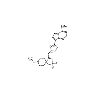 CSc1ncnn2c([C@H]3CC[C@@H](CN4CC(F)(F)CC45CCN(CC(F)(F)F)CC5)O3)ccc12